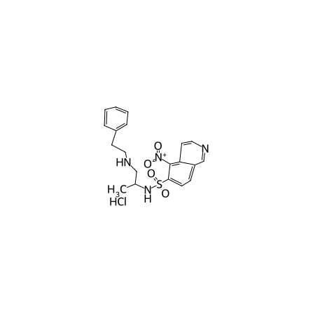 CC(CNCCc1ccccc1)NS(=O)(=O)c1ccc2cnccc2c1[N+](=O)[O-].Cl